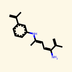 C=C(C)/C(N)=C\C=C(/C)Nc1cccc(C(=C)C)c1